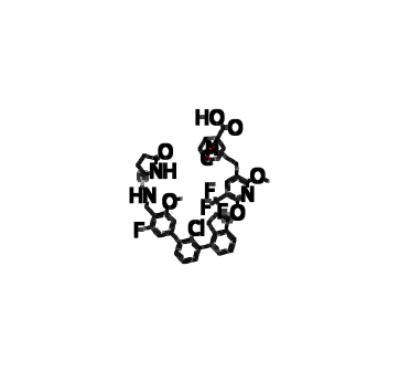 COc1cc(-c2cccc(-c3cccc4c3CC[C@@H]4Oc3nc(OC)c(CN4CC5CCC(C(=O)O)(CC5)C4)cc3C(F)(F)F)c2Cl)cc(F)c1CNC[C@@H]1CCC(=O)N1